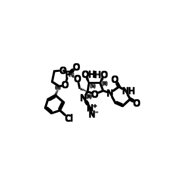 [N-]=[N+]=N[C@]1(CO[P@@]2(=O)OCC[C@@H](c3cccc(Cl)c3)O2)OC(n2ccc(=O)[nH]c2=O)[C@H](O)[C@@H]1O